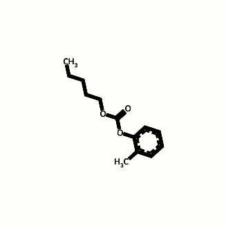 CCCCCOC(=O)Oc1ccccc1C